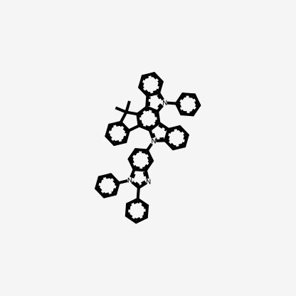 CC1(C)c2ccccc2-c2c1c1c3ccccc3n(-c3ccccc3)c1c1c3ccccc3n(-c3ccc4c(c3)nc(-c3ccccc3)n4-c3ccccc3)c21